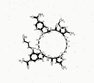 CCn1nc(C)c2c1C(=O)/N=C1\Sc3cc(C(N)=O)cnc3N1CCCCn1c(nc3cc(C(N)=O)cc(OCCCO)c31)NC(=O)c1cc(C)nn1CCCCC2